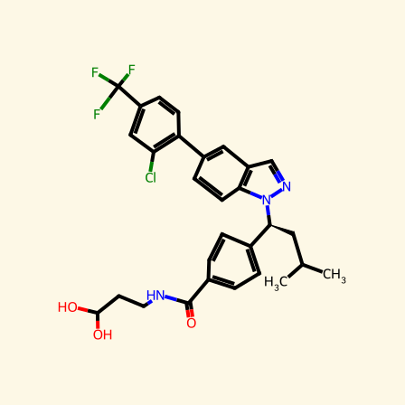 CC(C)C[C@@H](c1ccc(C(=O)NCCC(O)O)cc1)n1ncc2cc(-c3ccc(C(F)(F)F)cc3Cl)ccc21